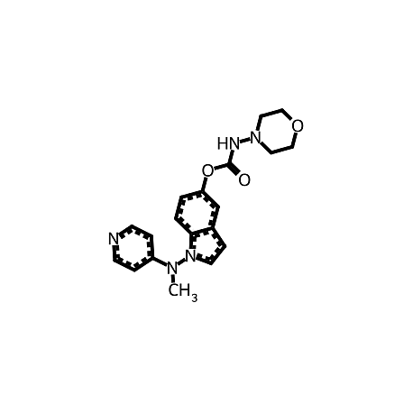 CN(c1ccncc1)n1ccc2cc(OC(=O)NN3CCOCC3)ccc21